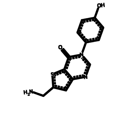 NCc1cc2ncn(-c3ccc(O)cc3)c(=O)c2s1